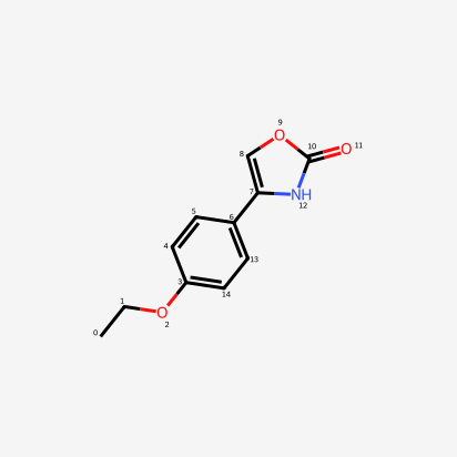 CCOc1ccc(-c2coc(=O)[nH]2)cc1